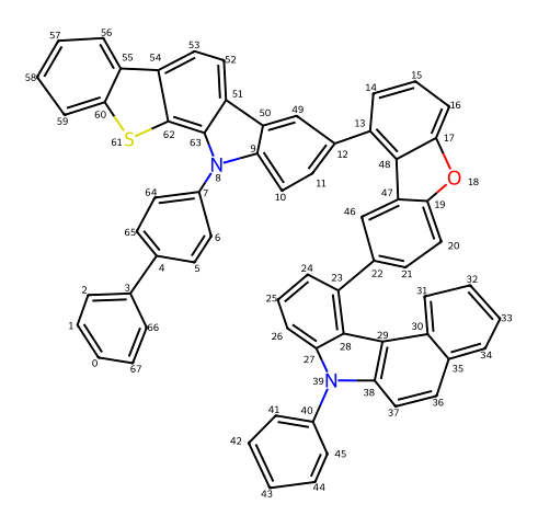 c1ccc(-c2ccc(-n3c4ccc(-c5cccc6oc7ccc(-c8cccc9c8c8c%10ccccc%10ccc8n9-c8ccccc8)cc7c56)cc4c4ccc5c6ccccc6sc5c43)cc2)cc1